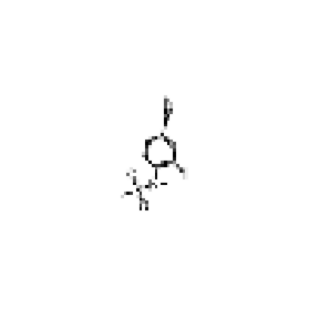 CS(=O)(=O)Nc1ccc(C#N)cc1I